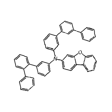 c1ccc(-c2cccc(-c3cccc(N(c4cccc(-c5ccccc5-c5ccccc5)c4)c4ccc5c(c4)oc4ccccc45)c3)c2)cc1